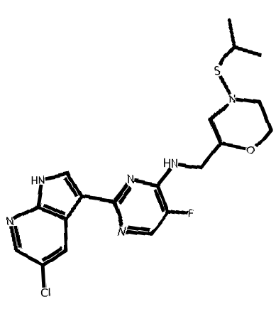 CC(C)SN1CCOC(CNc2nc(-c3c[nH]c4ncc(Cl)cc34)ncc2F)C1